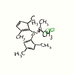 CC1=CC(C)[C]([Zr+2]([C]2=C(C)C=CC2C)=[Si](C)C)=C1.[Cl-].[Cl-]